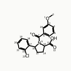 COc1cccc(C(=O)N2C(C(=O)O)CCC2c2ccccc2Cl)c1